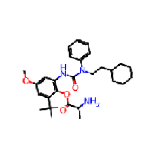 COc1cc(NC(=O)N(CCC2CCCCC2)c2ccccc2)c(OC(=O)[C@H](C)N)c(C(C)(C)C)c1